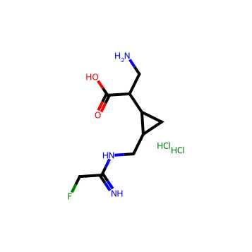 Cl.Cl.N=C(CF)NCC1CC1C(CN)C(=O)O